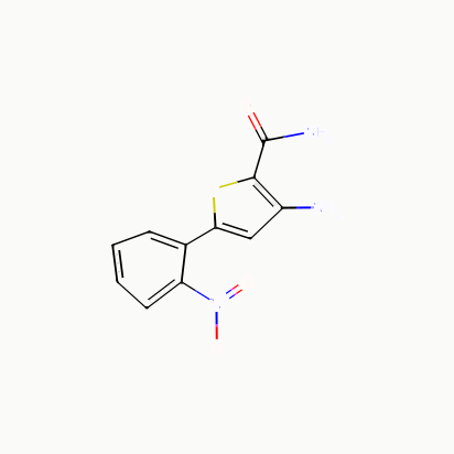 NC(=O)c1sc(-c2ccccc2[N+](=O)[O-])cc1N